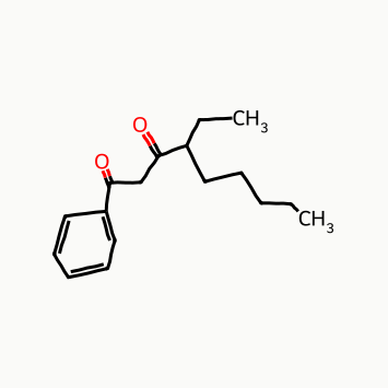 CCCCCC(CC)C(=O)CC(=O)c1ccccc1